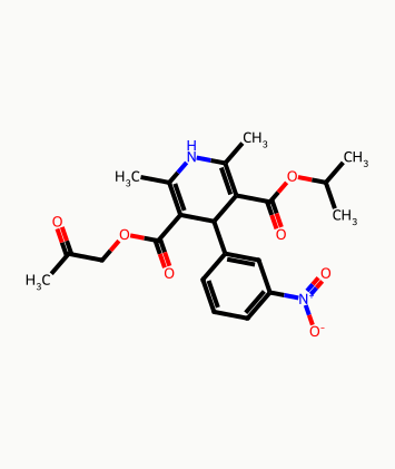 CC(=O)COC(=O)C1=C(C)NC(C)=C(C(=O)OC(C)C)C1c1cccc([N+](=O)[O-])c1